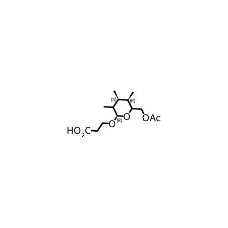 CC(=O)OCC1O[C@@H](OCCC(=O)O)C(C)[C@@H](C)[C@H]1C